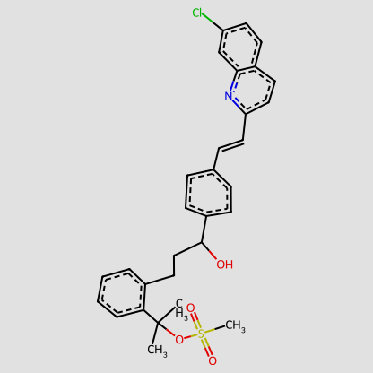 CC(C)(OS(C)(=O)=O)c1ccccc1CCC(O)c1ccc(C=Cc2ccc3ccc(Cl)cc3n2)cc1